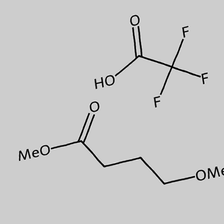 COCCCC(=O)OC.O=C(O)C(F)(F)F